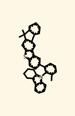 Cc1cccc(-c2ccc3sc4cc5c(cc4c3c2)-c2ccccc2C5(C)C)c1-n1c2c(c3ccccc31)CCCC2